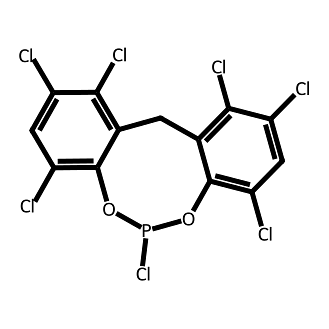 Clc1cc(Cl)c2c(c1Cl)Cc1c(Cl)c(Cl)cc(Cl)c1OP(Cl)O2